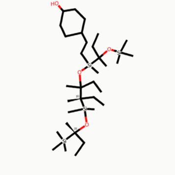 CCC(C)(O[Si](C)(CCC1CCC(O)CC1)C(C)(CC)O[Si](C)(C)C)[C@](C)(CC)[Si](C)(C)O[C@](C)(CC)[Si](C)(C)C